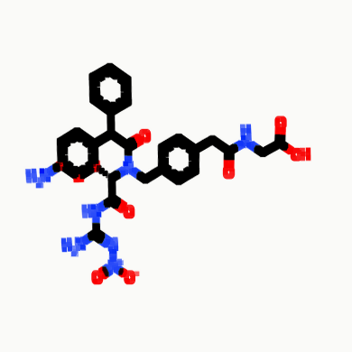 NCCC[C@@H](C(=O)NC(N)=N[N+](=O)[O-])N(Cc1ccc(CC(=O)NCC(=O)O)cc1)C(=O)C(c1ccccc1)c1ccccc1